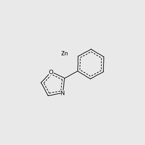 [Zn].c1ccc(-c2ncco2)cc1